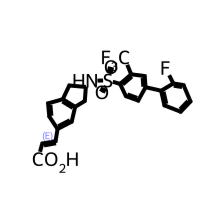 O=C(O)/C=C/c1ccc2c(c1)CC(NS(=O)(=O)c1ccc(-c3ccccc3F)cc1C(F)(F)F)C2